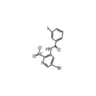 O=C(Nc1cc(Br)cnc1[N+](=O)[O-])c1cccc(I)c1